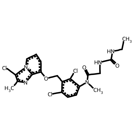 CCNC(=O)NCC(=O)N(C)c1ccc(Cl)c(COc2cccn3c(Cl)c(C)nc23)c1Cl